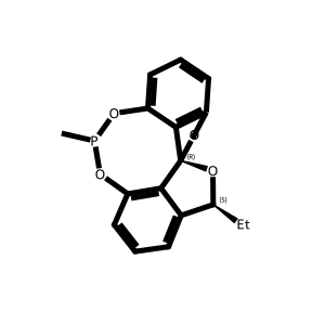 CC[C@@H]1O[C@]23OCc4cccc(c42)OP(C)Oc2cccc1c23